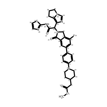 COC(=O)CC1CCN(c2ccc(-c3cc(F)c4c(c3)C(=O)N(C(C(=O)Nc3nccs3)c3ncn5c3CCC5)C4)cc2)CC1